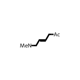 CNC/C=C/CC(C)=O